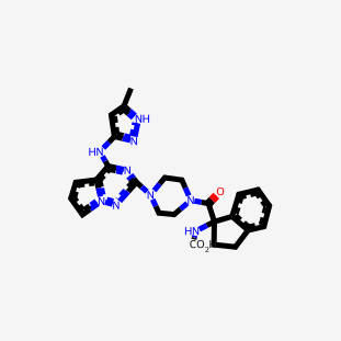 Cc1cc(Nc2nc(N3CCN(C(=O)C4(NC(=O)O)CCc5ccccc54)CC3)nn3cccc23)n[nH]1